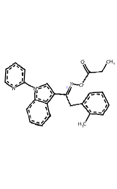 CCC(=O)O/N=C(\Cc1ccccc1C)c1cn(-c2ccccn2)c2ccccc12